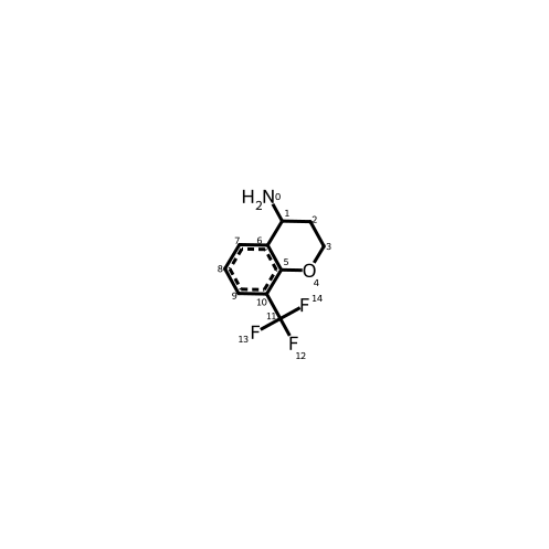 NC1CCOc2c1cccc2C(F)(F)F